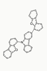 c1ccc2c(c1)oc1c(-c3ccc4c(c3)c3ccccc3n4-c3cccc4c3oc3ccccc34)cccc12